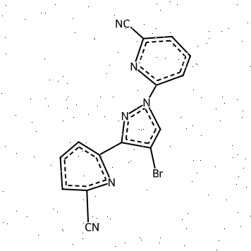 N#Cc1cccc(-c2nn(-c3cccc(C#N)n3)cc2Br)n1